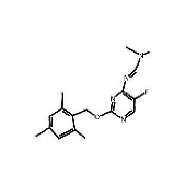 Cc1cc(C)c(COc2ncc(F)c(/N=C/N(C)C)n2)c(C)c1